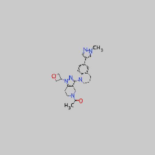 CC(=O)N1CCc2c(c(N3CCCc4cc(-c5cnn(C)c5)ccc43)nn2C2COC2)C1